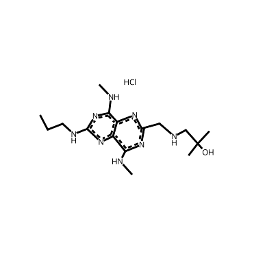 CCCNc1nc(NC)c2nc(CNCC(C)(C)O)nc(NC)c2n1.Cl